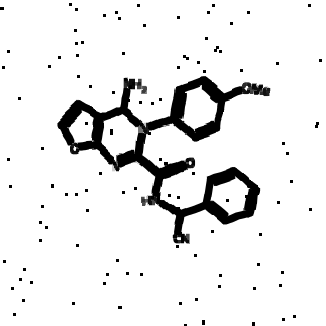 COc1ccc(N2C(C(=O)NC(C#N)c3ccccc3)=Nc3occc3C2N)cc1